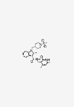 Cc1cc(C)c(CNC(=O)c2c(C)n(CC3CCN(S(C)(=O)=O)CC3)c3ccccc23)c(=O)[nH]1